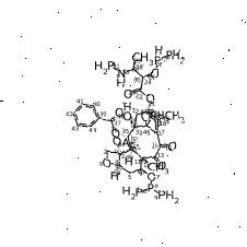 CC(=O)O[C@@]12CO[C@@H]1C[C@H](OP(P)P)[C@@]1(C)C(=O)C(=O)C3=C(C)[C@@H](OC(=O)[C@H](OPP)[C@H](C)NP)C[C@@](O)([C@@H](OC(=O)c4ccccc4)[C@H]21)C3(C)C